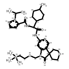 CC1CCC(C(NC(=O)c2ccnn2C(C)C)C(=O)Nc2cc3c(cn2)C2(CCOCC2)C(=O)N3COCC[Si](C)(C)C)CC1